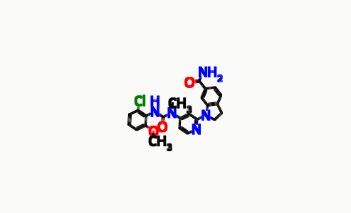 COc1cccc(Cl)c1NC(=O)N(C)c1ccnc(N2CCc3ccc(C(N)=O)cc32)c1